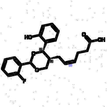 O=C(O)CC/C=C\C[C@@H]1COC(c2ccccc2F)O[C@@H]1c1ccccc1O